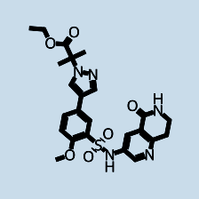 CCOC(=O)C(C)(C)n1cc(-c2ccc(OC)c(S(=O)(=O)Nc3cnc4c(c3)C(=O)NCC4)c2)cn1